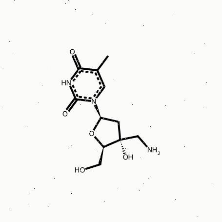 Cc1cn([C@H]2C[C@@](O)(CN)[C@@H](CO)O2)c(=O)[nH]c1=O